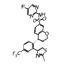 Cc1nc(-c2cc(C(F)(F)F)ccc2[C@H]2CCOc3cc(S(=O)(=O)Nc4ncc(F)cn4)ccc32)cs1